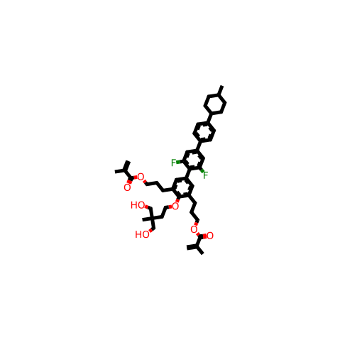 C=C(C)C(=O)OCCCc1cc(-c2c(F)cc(-c3ccc(C4CCC(C)CC4)cc3)cc2F)cc(CCCOC(=O)C(=C)C)c1OCCC(C)(CO)CO